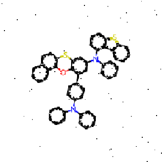 c1ccc(N(c2ccccc2)c2ccc(-c3cc(N(c4ccccc4)c4cccc5sc6ccccc6c45)cc4c3Oc3c(ccc5ccccc35)S4)cc2)cc1